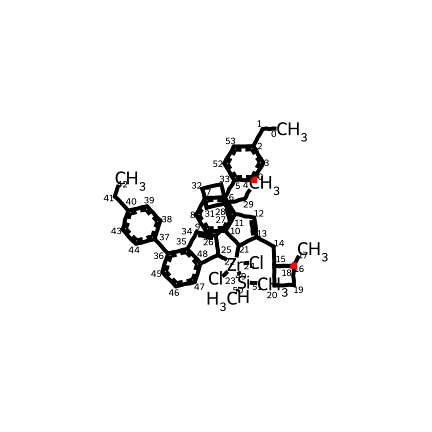 CCc1ccc(-c2cccc3c2C=C(CC2(CC)CCC2)[CH]3[Zr]([Cl])([Cl])([CH]2C(CC3(CC)CCC3)=Cc3c(-c4ccc(CC)cc4)cccc32)[SiH](C)C)cc1